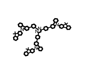 CC1(C)c2ccccc2-c2ccc(-n3c4ccccc4c4cc(-c5ccc(-c6cc(-c7ccc(-c8ccc9c(c8)c8ccccc8n9-c8ccc9c(c8)C(C)(C)c8ccccc8-9)cc7)nc(-c7cccc(-c8ccc9c(c8)c8ccccc8n9-c8ccc9c(c8)C(C)(C)c8ccccc8-9)c7)n6)cc5)ccc43)cc21